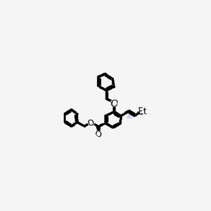 CC/C=C/c1ccc(C(=O)OCc2ccccc2)cc1OCc1ccccc1